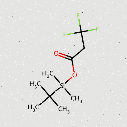 CC(C)(C)[Si](C)(C)OC(=O)CC(F)(F)F